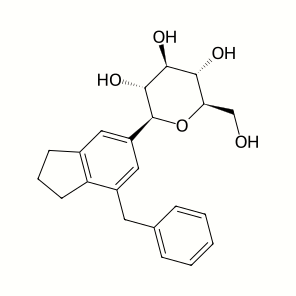 OC[C@H]1O[C@@H](c2cc3c(c(Cc4ccccc4)c2)CCC3)[C@H](O)[C@@H](O)[C@@H]1O